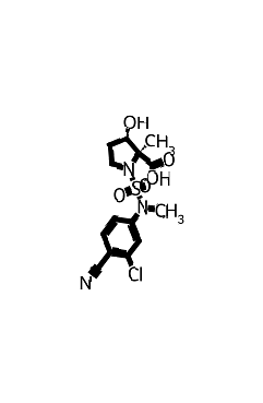 CN(c1ccc(C#N)c(Cl)c1)S(=O)(=O)N1CC[C@@H](O)[C@@]1(C)C(=O)O